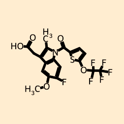 COc1cc2c(CC(=O)O)c(C)n(C(=O)c3ccc(OC(F)(F)C(F)(F)F)s3)c2cc1F